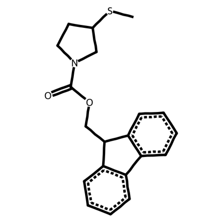 CSC1CCN(C(=O)OCC2c3ccccc3-c3ccccc32)C1